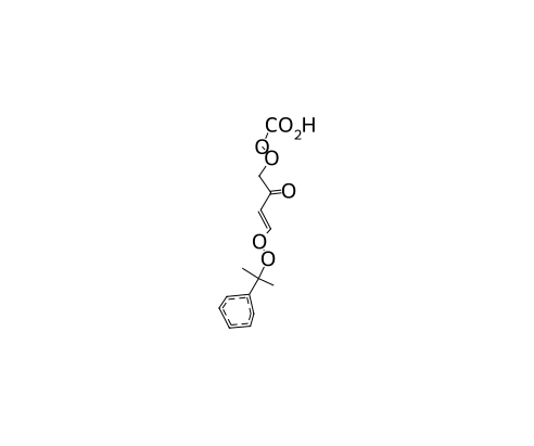 CC(C)(OOC=CC(=O)COOC(=O)O)c1ccccc1